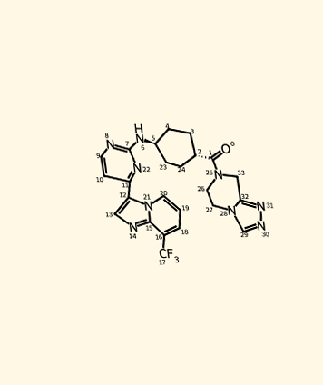 O=C([C@H]1CC[C@H](Nc2nccc(-c3cnc4c(C(F)(F)F)cccn34)n2)CC1)N1CCn2cnnc2C1